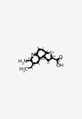 CCc1cc2c(ccc3sc(C(=O)O)cc32)nc1N